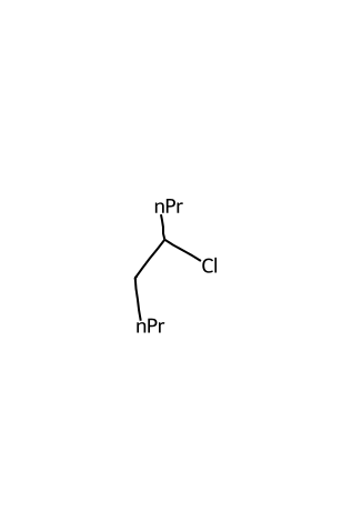 [CH2]CCC(Cl)CCCC